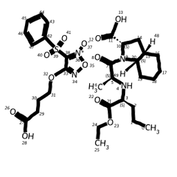 CCC[C@H](N[C@@H](C)C(=O)N1[C@H](C(=O)O)C[C@@H]2CCCC[C@@H]21)C(=O)OCC.O=C(O)CCCOc1no[n+]([O-])c1S(=O)(=O)c1ccccc1